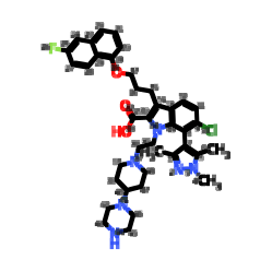 Cc1nn(C)c(C)c1-c1c(Cl)ccc2c(CCCOc3cccc4cc(F)ccc34)c(C(=O)O)n(CCN3CCC(N4CCNCC4)CC3)c12